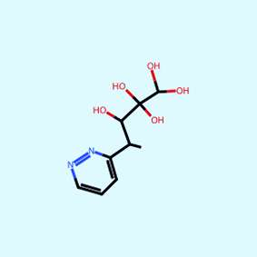 CC(c1cccnn1)C(O)C(O)(O)C(O)O